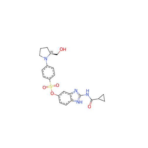 O=C(Nc1nc2cc(OS(=O)(=O)c3ccc(N4CCC[C@H]4CO)cc3)ccc2[nH]1)C1CC1